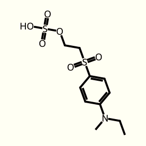 CCN(C)c1ccc(S(=O)(=O)CCOS(=O)(=O)O)cc1